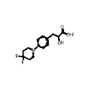 O=C(O)C(O)Cc1ccc(N2CCC(F)(F)CC2)cc1